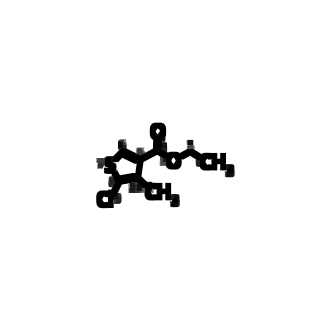 CCOC(=O)c1csc(Cl)c1C